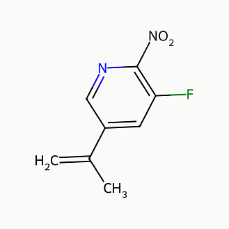 C=C(C)c1cnc([N+](=O)[O-])c(F)c1